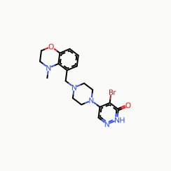 CN1CCOc2cccc(CN3CCN(c4cn[nH]c(=O)c4Br)CC3)c21